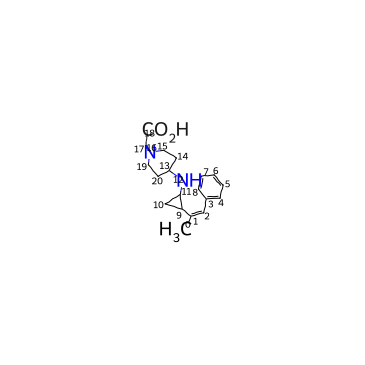 CC(=Cc1ccccc1)C1CC1NC1CCN(CC(=O)O)CC1